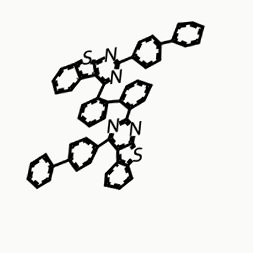 c1ccc(-c2ccc(-c3nc(-c4ccccc4-c4ccccc4-c4nc(-c5ccc(-c6ccccc6)cc5)c5c(n4)sc4ccccc45)c4c(n3)sc3ccccc34)cc2)cc1